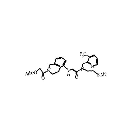 CNCCN(Cc1ncccc1C(F)(F)F)C(=O)CNc1cccc2c1CCN(C(=O)COC)C2